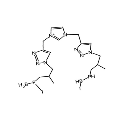 BP(I)CC(C)Cn1cc(C[n+]2ccn(Cc3cn(CC(C)CPBI)nn3)c2)nn1